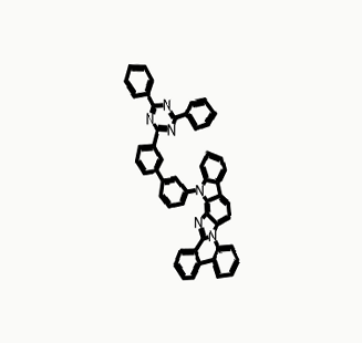 c1ccc(-c2nc(-c3ccccc3)nc(-c3cccc(-c4cccc(-n5c6ccccc6c6ccc7c(nc8c9ccccc9c9ccccc9n78)c65)c4)c3)n2)cc1